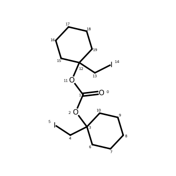 O=C(OC1(CI)CCCCC1)OC1(CI)CCCCC1